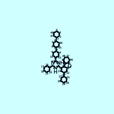 c1ccc(-c2ccc(-c3ccc(C4=NC(c5ccccc5)NC(c5cc(-c6ccccc6)cc6oc7ccccc7c56)N4)cc3)cc2)cc1